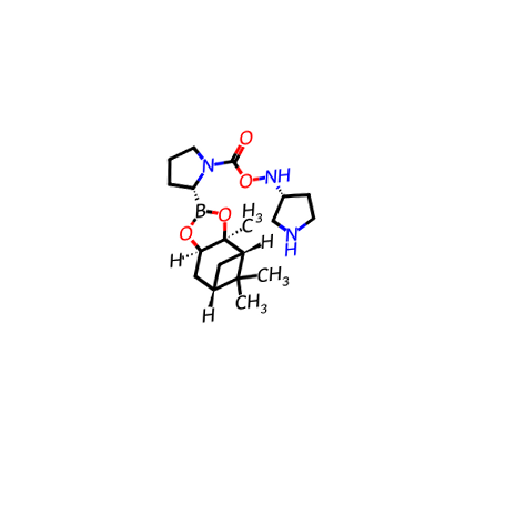 CC1(C)[C@@H]2C[C@H]3OB([C@@H]4CCCN4C(=O)ON[C@@H]4CCNC4)O[C@@]3(C)[C@H]1C2